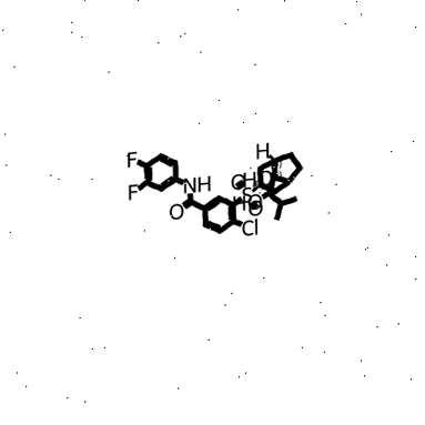 CC(C)C(O)[C@@]1(O)C2CC[C@H]1C[C@H](S(=O)(=O)c1cc(C(=O)Nc3ccc(F)c(F)c3)ccc1Cl)C2